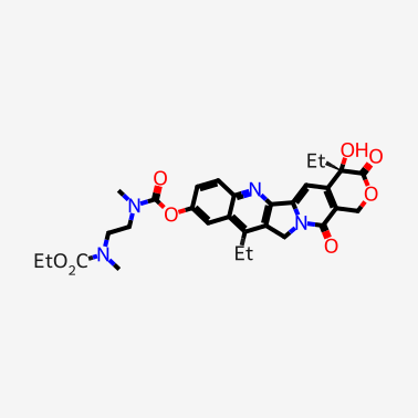 CCOC(=O)N(C)CCN(C)C(=O)Oc1ccc2nc3c(c(CC)c2c1)Cn1c-3cc2c(c1=O)COC(=O)[C@]2(O)CC